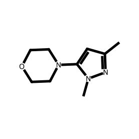 Cc1cc(N2CCOCC2)n(C)n1